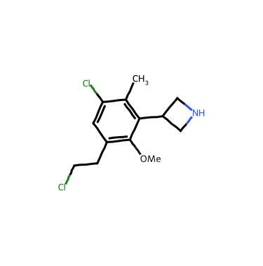 COc1c(CCCl)cc(Cl)c(C)c1C1CNC1